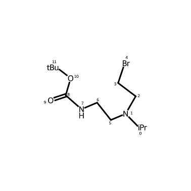 CC(C)N(CCBr)CCNC(=O)OC(C)(C)C